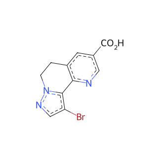 O=C(O)c1cnc2c(c1)CCn1ncc(Br)c1-2